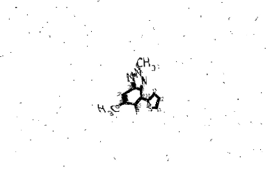 Cc1cc2nn(C)nc2c(-c2cccs2)c1F